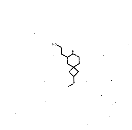 COC1CC2(CCNC(CCO)C2)C1